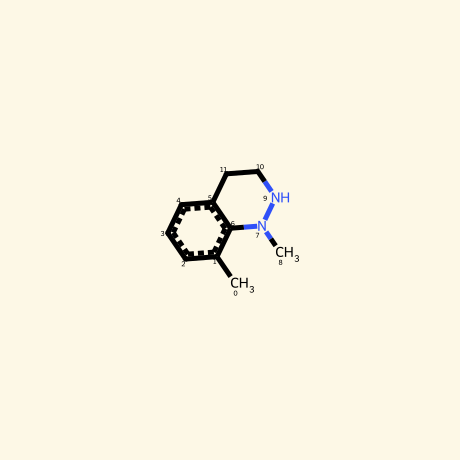 Cc1cccc2c1N(C)NCC2